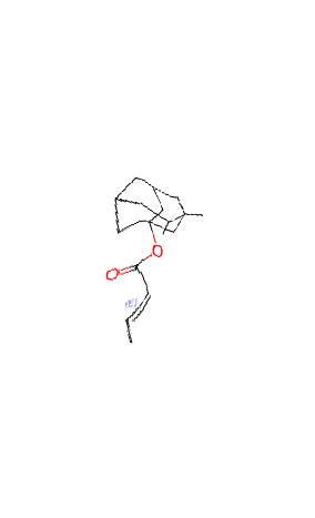 C/C=C/C(=O)OC12CC3CC(C1)C(C)C(C)(C3)C2